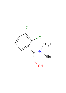 CC(C)(C)N(C(=O)O)C(CO)c1cccc(Cl)c1Cl